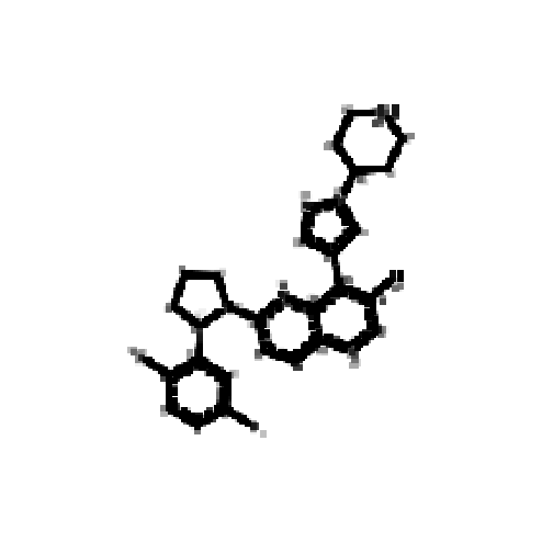 Fc1ccc(F)c([C@H]2CCCN2c2ccc3ncc(Cl)c(-c4cnn(C5CCNCC5)c4)c3n2)c1